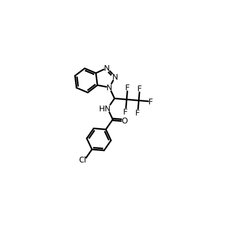 O=C(NC(n1nnc2ccccc21)C(F)(F)C(F)(F)F)c1ccc(Cl)cc1